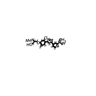 CNC(CO)COc1cc(Cl)c(-c2nnc(-c3ccnc(N(C)C(C)C)c3)s2)cc1F